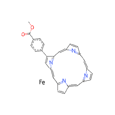 COC(=O)c1ccc(C2=CC3=CC4=NC(=CC5=NC(=CC6=NC(=CC2=N3)C=C6)C=C5)C=C4)cc1.[Fe]